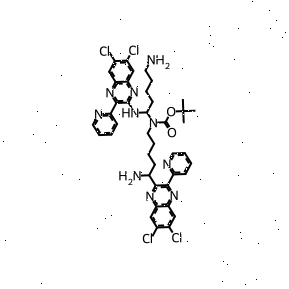 CC(C)(C)OC(=O)N(CCCCC(N)c1nc2cc(Cl)c(Cl)cc2nc1-c1ccccn1)C(CCCCN)Nc1nc2cc(Cl)c(Cl)cc2nc1-c1ccccn1